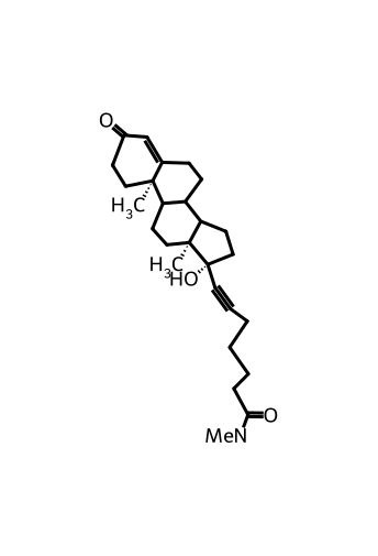 CNC(=O)CCCCC#C[C@]1(O)CCC2C3CCC4=CC(=O)CC[C@]4(C)C3CC[C@@]21C